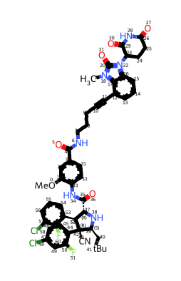 COc1cc(C(=O)NCCCC#Cc2cccc3c2n(C)c(=O)n3C2CCC(=O)NC2=O)ccc1NC(=O)[C@@H]1N[C@@H](CC(C)(C)C)[C@](C#N)(c2ccc(Cl)cc2F)[C@H]1c1cccc(Cl)c1F